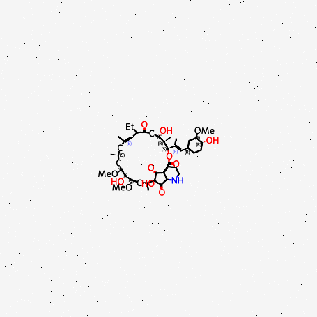 CCC1/C=C(\C)C[C@H](C)C[C@H](OC)[C@@H](O)[C@@H](OC)CC(C)C2(O)C(=O)C3NCCCC3(C(=O)O[C@H](/C(C)=C/[C@@H]3CC[C@@H](O)[C@H](OC)C3)[C@H](C)[C@@H](O)CC1=O)C2=O